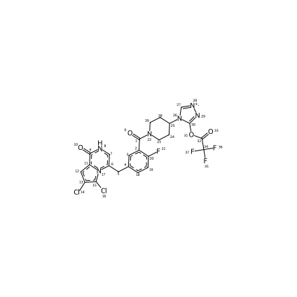 O=C(c1cc(Cc2c[nH]c(=O)c3cc(Cl)c(Cl)n23)ccc1F)N1CCC(N2C=[N+]N=C2OC(=O)C(F)(F)F)CC1